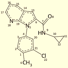 Cc1ccc(-n2c(C(=O)NC3CC3)cc3cccnc32)cc1Cl